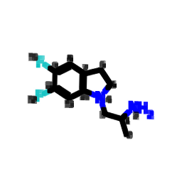 CC(N)CN1CCc2cc(F)c(F)cc21